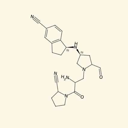 N#Cc1ccc2c(c1)CC[C@@H]2N[C@H]1CC(C=O)N(CC(N)C(=O)N2CCCC2C#N)C1